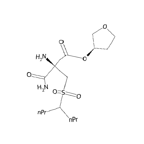 CCCC(CCC)S(=O)(=O)C[C@](N)(C(N)=O)C(=O)O[C@@H]1CCOC1